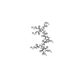 C=CC(=O)OCC(COC(=O)C=C)(COC(=O)C=C)COC(=O)Nc1ccc(C)c(NC(=O)OCC(COC(=O)C=C)(COC(=O)C=C)COC(=O)C=C)c1